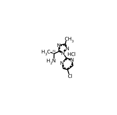 Cc1nc([C@H](C)N)n(-c2ncc(Cl)cn2)n1.Cl